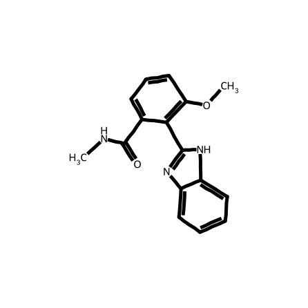 CNC(=O)c1cccc(OC)c1-c1nc2ccccc2[nH]1